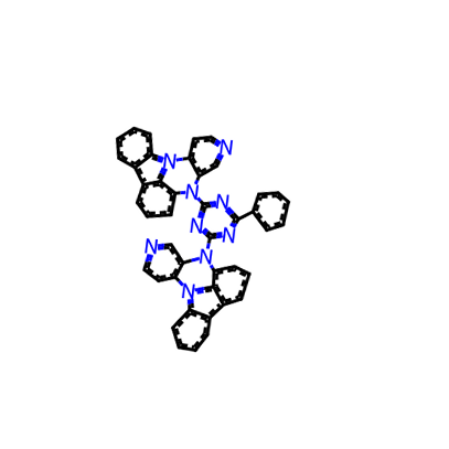 c1ccc(-c2nc(N3c4cnccc4-n4c5ccccc5c5cccc3c54)nc(N3c4cnccc4-n4c5ccccc5c5cccc3c54)n2)cc1